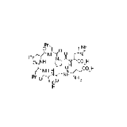 CC(C)C[C@H](NC(=O)[C@H](CO)NC(=O)CNC(=O)[C@@H](N)CCC(=O)O)C(=O)N[C@@H](CC(C)C)C(=O)N[C@@H](CC(C)C)C(=O)N1CCC[C@H]1C(=O)N[C@@H](Cc1c[nH]cn1)C(=O)O